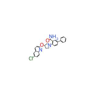 NC(=O)c1cc(-c2ccccc2)ccc1N1CCC(Oc2ccc3cc(Cl)ccc3n2)C1